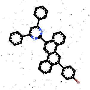 Brc1ccc(-c2cc3c4ccccc4c(-c4nc(-c5ccccc5)cc(-c5ccccc5)n4)cc3c3ccccc23)cc1